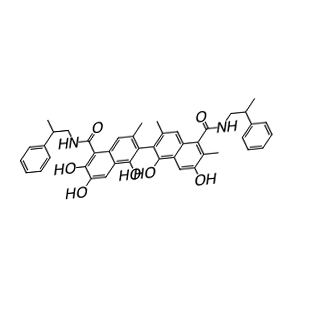 Cc1cc2c(C(=O)NCC(C)c3ccccc3)c(C)c(O)cc2c(O)c1-c1c(C)cc2c(C(=O)NCC(C)c3ccccc3)c(O)c(O)cc2c1O